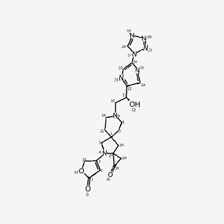 O=C1C=C(N2CC3(CCN(C[C@H](O)c4cnc(-n5cnnn5)cn4)CC3)CC23CC3=O)CO1